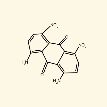 Nc1ccc([N+](=O)[O-])c2c1C(=O)c1c(N)ccc([N+](=O)[O-])c1C2=O